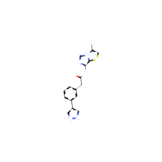 O=C(Cc1cccc(-c2cn[nH]c2)c1)Nc1ncn2c(C(F)(F)F)csc12